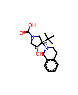 CC(C)(C)[C@]1(N2CCc3ccccc3C2)CN(C(=O)O)C[C@@H]1O